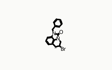 O=c1n(Cc2ccccc2)c2cccc3c2n1CC(Br)[C]3